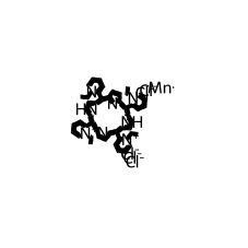 CC[n+]1ccccc1-c1c2nc(c(-c3cccc[n+]3CC)c3ccc([nH]3)c(-c3cccc[n+]3CC)c3nc(c(-c4cccc[n+]4CC)c4ccc1[nH]4)C=C3)C=C2.[Cl-].[Cl-].[Cl-].[Cl-].[Cl-].[Mn]